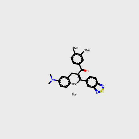 COc1ccc(C(=O)/C(Cc2cccc(N(C)C)c2)=C(/C(=O)[O-])c2ccc3nsnc3c2)cc1OC.[Na+]